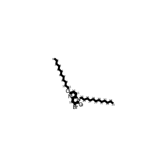 CCCCCCCCCCCCOc1ccc2c(cc(Br)c(=O)n2CCCCCCCCCCCC)n1